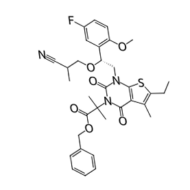 CCc1sc2c(c1C)c(=O)n(C(C)(C)C(=O)OCc1ccccc1)c(=O)n2C[C@H](OCC(C)C#N)c1cc(F)ccc1OC